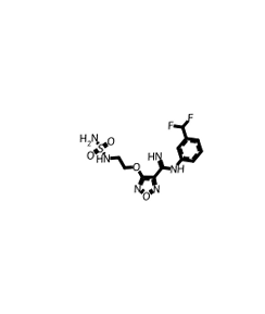 N=C(Nc1cccc(C(F)F)c1)c1nonc1OCCNS(N)(=O)=O